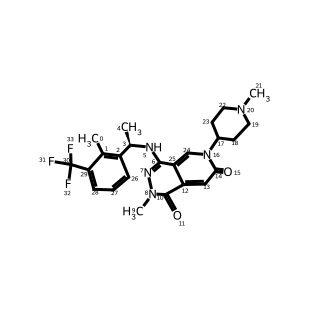 Cc1c([C@@H](C)Nc2nn(C)c(=O)c3cc(=O)n(C4CCN(C)CC4)cc23)cccc1C(F)(F)F